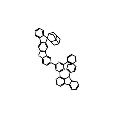 c1ccc(-c2nc(-c3ccc4sc5cc6c(cc5c4c3)C3(c4ccccc4-6)C4CC5CC(C4)CC3C5)nc(-c3cccc4c5ccccc5n(-c5ccccc5)c34)n2)cc1